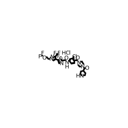 Cl.Cn1c(-c2cn(CCOC(F)F)nc2C(F)(F)F)cnc1C(=O)Nc1ccc(C(=O)N2CCN(C(=O)C3CCNCC3)CC2)c(Cl)c1